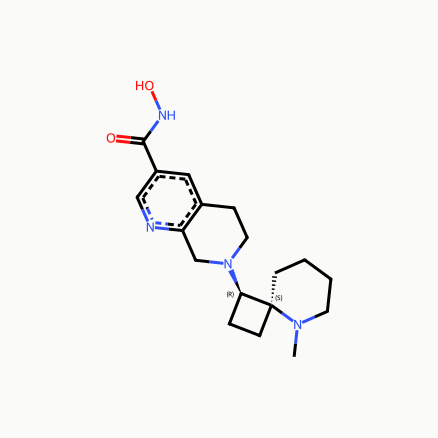 CN1CCCC[C@@]12CC[C@H]2N1CCc2cc(C(=O)NO)cnc2C1